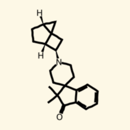 CC1(C)C(=O)c2ccccc2C12CCN([C@@H]1CC34C[C@H]3CC[C@@H]14)CC2